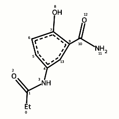 CCC(=O)Nc1ccc(O)c(C(N)=O)c1